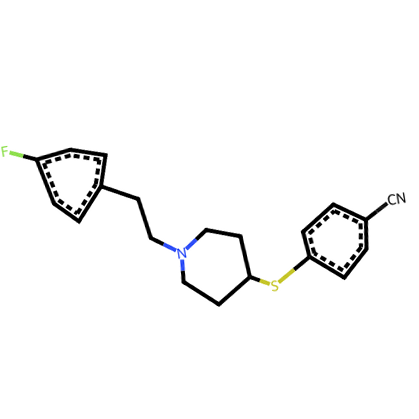 N#Cc1ccc(SC2CCN(CCc3ccc(F)cc3)CC2)cc1